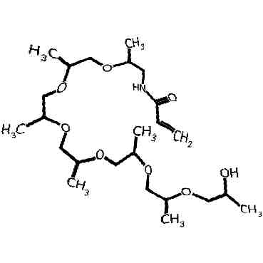 C=CC(=O)NCC(C)OCC(C)OCC(C)OCC(C)OCC(C)OCC(C)OCC(C)O